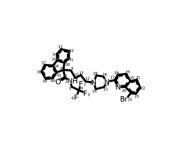 O=C(NCC(F)(F)F)C1(CCCCN2CCN(c3ccc4cccc(Br)c4n3)CC2)c2ccccc2-c2ccccc21